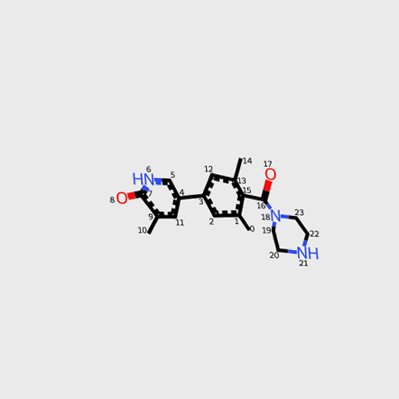 Cc1cc(-c2c[nH]c(=O)c(C)c2)cc(C)c1C(=O)N1CCNCC1